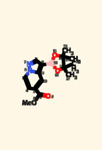 COC(=O)c1ccn2ncc(B3OC(C)(C)C(C)(C)O3)c2c1